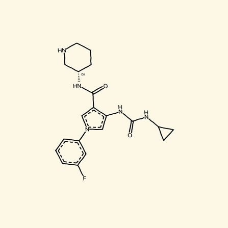 O=C(Nc1cn(-c2cccc(F)c2)cc1C(=O)N[C@H]1CCCNC1)NC1CC1